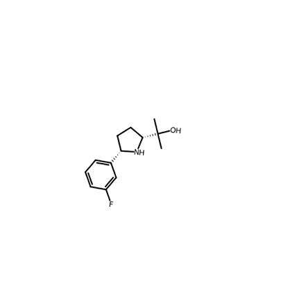 CC(C)(O)[C@H]1CC[C@@H](c2cccc(F)c2)N1